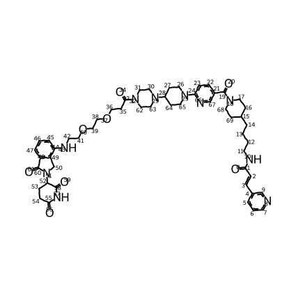 O=C(/C=C/c1cccnc1)NCCCCC1CCN(C(=O)c2ccc(N3CCC(N4CCN(C(=O)CCOCCOCCNc5cccc6c5CN(C5CCC(=O)NC5=O)C6=O)CC4)CC3)nc2)CC1